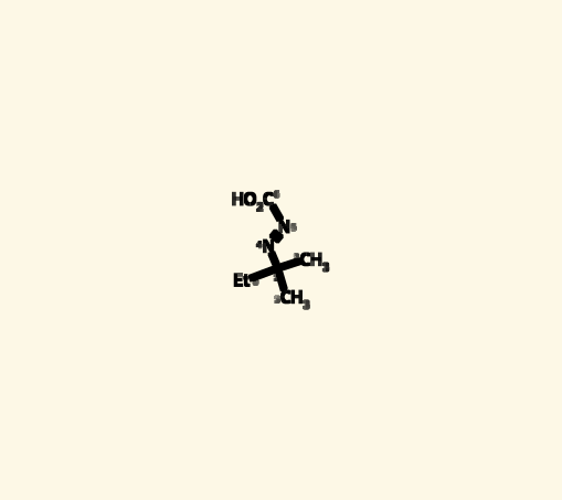 CCC(C)(C)N=NC(=O)O